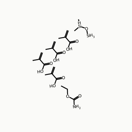 C=C(C)C(=O)O.C=C(C)C(=O)O.C=C(C)C(=O)O.C=C(C)C(=O)O.CCOC(N)=O.C[SiH](C)O[SiH3]